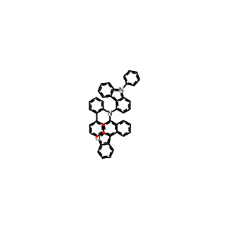 c1ccc(-c2ccccc2N(c2cc3oc4ccccc4c3c3ccccc23)c2cccc3c2c2ccccc2n3-c2ccccc2)cc1